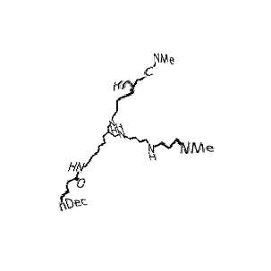 CCCCCCCCCCCCCC(=O)NCCCCCCC(CNCCCCNCCCNC)CNCCCCNCCCNC